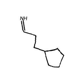 N=CCCC1CCCC1